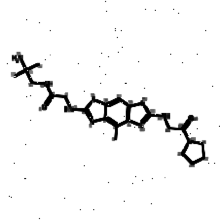 Cc1c2nc(NCC(=O)NCC(C)(C)N)sc2cc2sc(NCC(=O)N3CCCC3)nc12